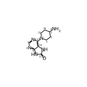 NC1CCN(c2ncnc3[nH]c(=O)[nH]c23)CC1